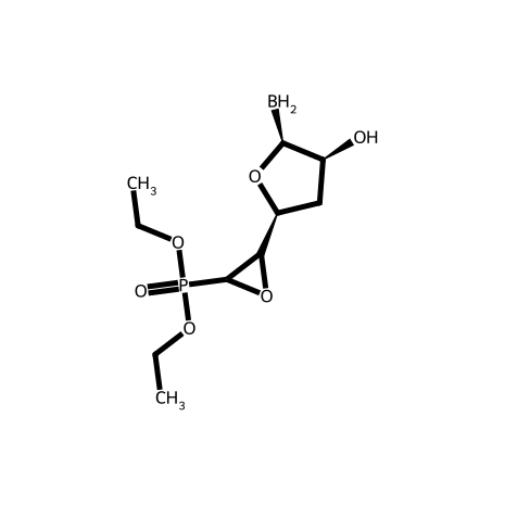 B[C@@H]1O[C@H](C2OC2P(=O)(OCC)OCC)C[C@@H]1O